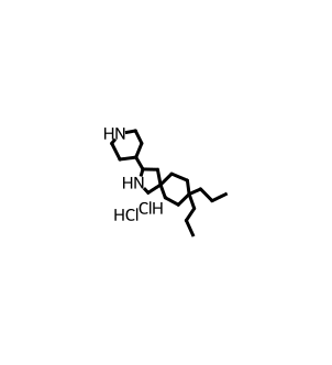 CCCC1(CCC)CCC2(CC1)CNC(C1CCNCC1)C2.Cl.Cl